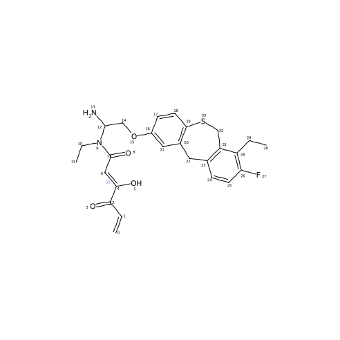 C=CC(=O)/C(O)=C/C(=O)N(CC)C(N)COc1ccc2c(c1)Cc1ccc(F)c(CC)c1CS2